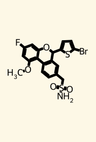 COc1cc(F)cc2c1-c1ccc(CS(N)(=O)=O)cc1C(c1ccc(Br)s1)O2